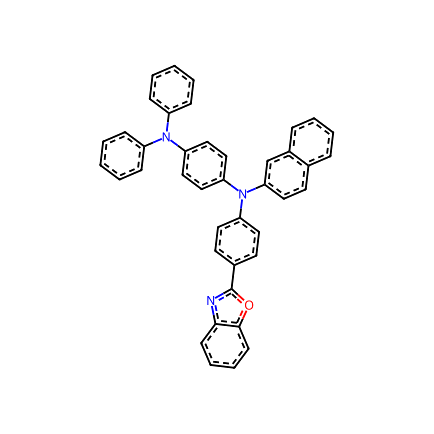 c1ccc(N(c2ccccc2)c2ccc(N(c3ccc(-c4nc5ccccc5o4)cc3)c3ccc4ccccc4c3)cc2)cc1